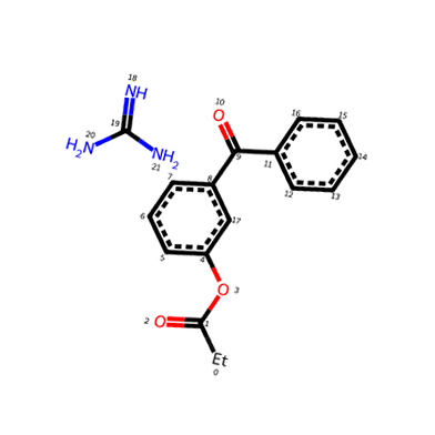 CCC(=O)Oc1cccc(C(=O)c2ccccc2)c1.N=C(N)N